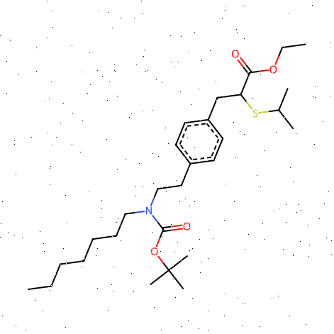 CCCCCCCN(CCc1ccc(CC(SC(C)C)C(=O)OCC)cc1)C(=O)OC(C)(C)C